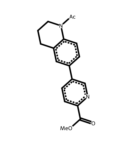 COC(=O)c1ccc(-c2ccc3c(c2)CCCN3C(C)=O)cn1